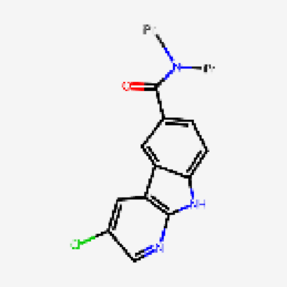 CC(C)N(C(=O)c1ccc2[nH]c3ncc(Cl)cc3c2c1)C(C)C